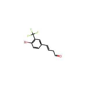 O=[C]C/C=C/c1ccc(Br)c(C(F)(F)F)c1